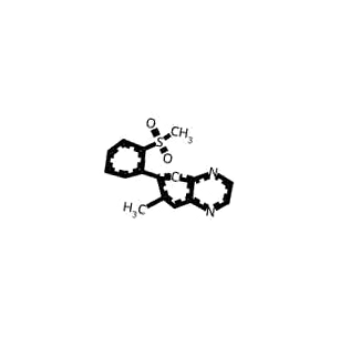 Cc1cc2nccnc2cc1-c1ccccc1S(C)(=O)=O